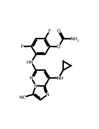 N#Cc1cnc2c(NC3CC3)cc(Nc3cc(OC(N)=O)c(F)cc3F)nn12